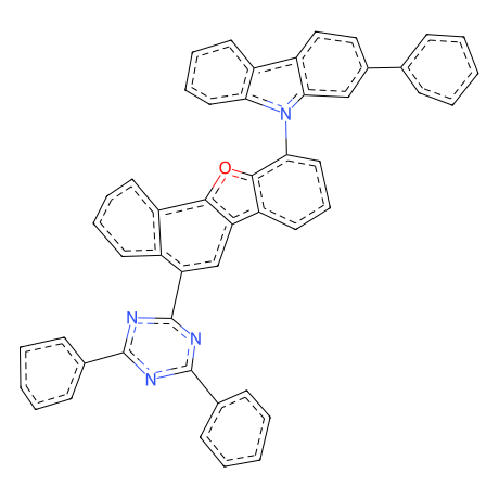 c1ccc(-c2ccc3c4ccccc4n(-c4cccc5c4oc4c6ccccc6c(-c6nc(-c7ccccc7)nc(-c7ccccc7)n6)cc54)c3c2)cc1